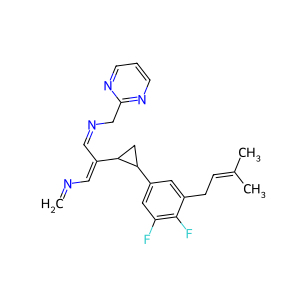 C=N/C=C(\C=N/Cc1ncccn1)C1CC1c1cc(F)c(F)c(CC=C(C)C)c1